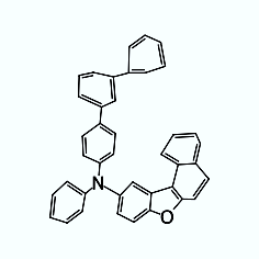 c1ccc(-c2cccc(-c3ccc(N(c4ccccc4)c4ccc5oc6ccc7ccccc7c6c5c4)cc3)c2)cc1